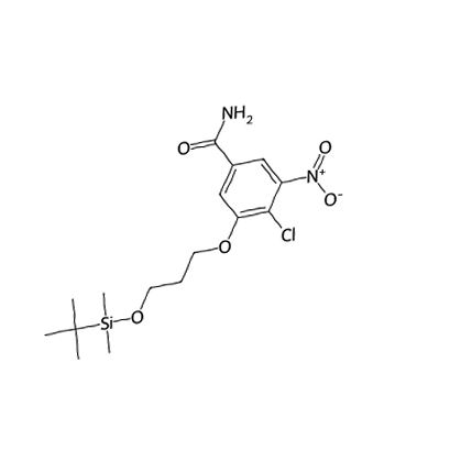 CC(C)(C)[Si](C)(C)OCCCOc1cc(C(N)=O)cc([N+](=O)[O-])c1Cl